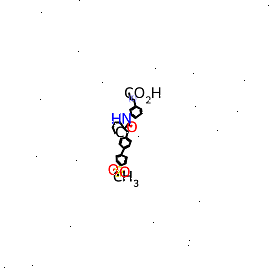 CS(=O)(=O)c1ccc(-c2ccc(CC3(C(=O)Nc4cccc(/C=C/C(=O)O)c4)CCCCC3)cc2)cc1